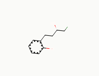 Oc1ccccc1CC[C@@H](O)CCl